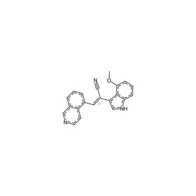 COc1cccc2[nH]cc(/C(C#N)=C/c3cccc4cnccc34)c12